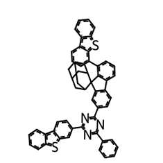 c1ccc(-c2nc(-c3ccc4c(c3)C3(c5c-4cccc5-c4cccc5c4sc4ccccc45)C4CC5CC(C4)CC3C5)nc(-c3ccc4c(c3)sc3ccccc34)n2)cc1